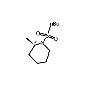 CCCCS(=O)(=O)N1CCCC[C@H]1C